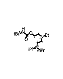 CCN(CCOC(=O)NC(C)(C)C)CCN(C(C)C)C(C)C